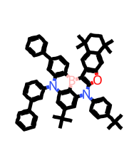 CC(C)(C)c1ccc(N2c3cc(C(C)(C)C)cc4c3B(c3ccc(-c5ccccc5)cc3N4c3cccc(-c4ccccc4)c3)c3c2oc2cc4c(cc32)C(C)(C)CCC4(C)C)cc1